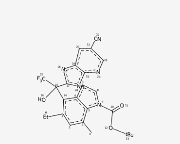 CCc1cc(C)c2c(ccn2C(=O)OC(C)(C)C)c1C(O)(c1nc2cc(C#N)cnc2[nH]1)C(F)(F)F